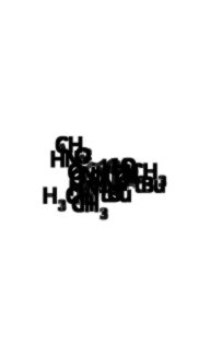 C=CCNC(=O)C(=O)C(CC1CCC1)NC(=O)[C@@H]1[C@@H]2[C@H](CN1C(=O)[C@@H](NC(=O)NC[C@@H](N(C)S(=O)(=O)c1ccccc1)C(C)(C)C)C(C)(C)C)C2(C)C